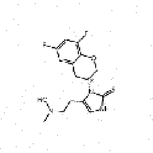 CN(O)CCc1c[nH]c(=S)n1[C@H]1COc2c(F)cc(F)cc2C1